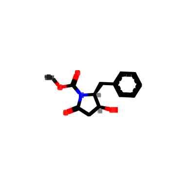 CC(C)(C)OC(=O)N1C(=O)C[C@H](O)[C@@H]1Cc1ccccc1